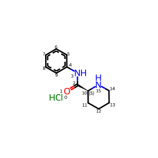 Cl.O=C(Nc1ccccc1)[C@@H]1CCCCN1